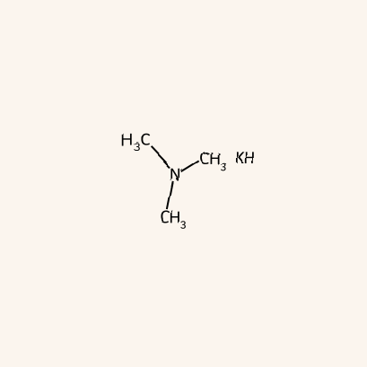 CN(C)C.[KH]